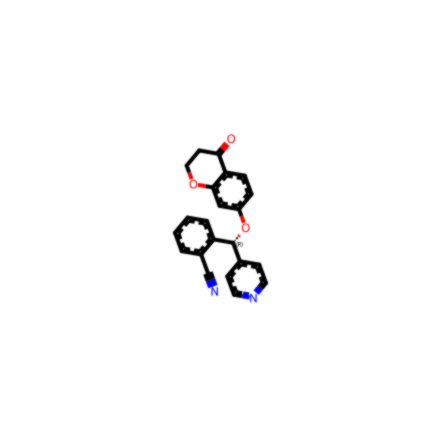 N#Cc1ccccc1[C@H](Oc1ccc2c(c1)OCCC2=O)c1ccncc1